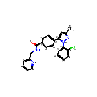 O=C(NCc1ccccn1)c1ccc(-c2cc(C(F)(F)F)nn2-c2ccccc2Cl)cc1